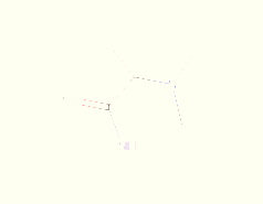 C[C](C(N)=O)N(C)C